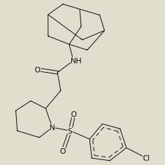 O=C(CC1CCCCN1S(=O)(=O)c1ccc(Cl)cc1)NC12CC3CC(CC(C3)C1)C2